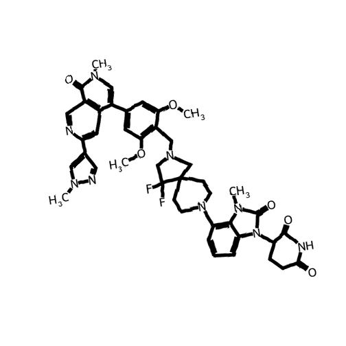 COc1cc(-c2cn(C)c(=O)c3cnc(-c4cnn(C)c4)cc23)cc(OC)c1CN1CC(F)(F)C2(CCN(c3cccc4c3n(C)c(=O)n4C3CCC(=O)NC3=O)CC2)C1